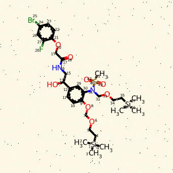 C[Si](C)(C)CCOCOc1ccc(C(O)CNC(=O)COc2ccc(Br)cc2F)cc1N(COCC[Si](C)(C)C)S(C)(=O)=O